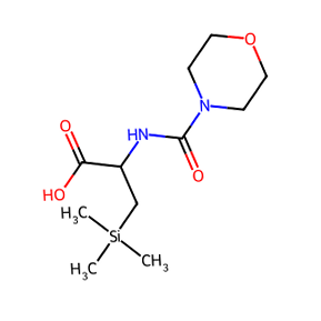 C[Si](C)(C)CC(NC(=O)N1CCOCC1)C(=O)O